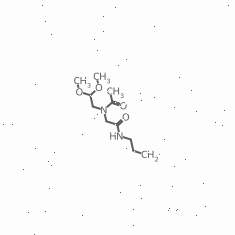 [CH2]CCNC(=O)CN(CC(OC)OC)C(C)=O